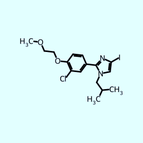 COCCOc1ccc(-c2nc(I)cn2CC(C)C)cc1Cl